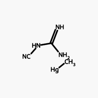 N#CNC(=N)N.[CH3][Hg]